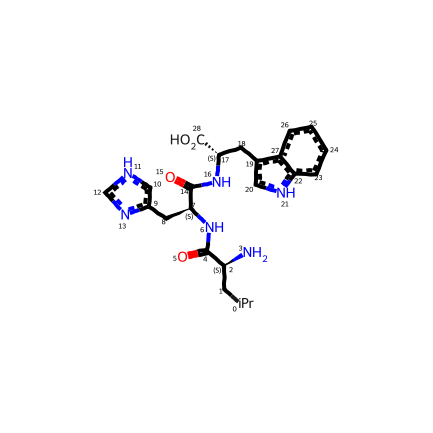 CC(C)C[C@H](N)C(=O)N[C@@H](Cc1c[nH]cn1)C(=O)N[C@@H](Cc1c[nH]c2ccccc12)C(=O)O